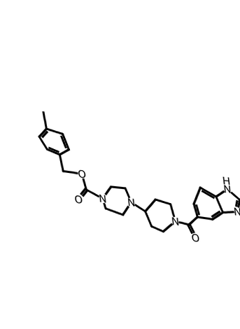 Cc1ccc(COC(=O)N2CCN(C3CCN(C(=O)c4ccc5[nH]cnc5c4)CC3)CC2)cc1